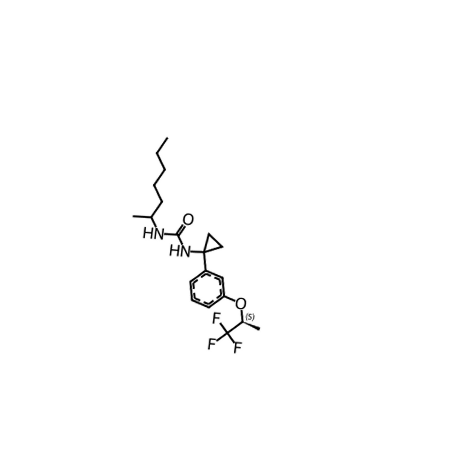 CCCCCC(C)NC(=O)NC1(c2cccc(O[C@@H](C)C(F)(F)F)c2)CC1